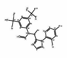 CC(c1ncnn1-c1ncc(F)cc1F)N(C=O)c1cc(C(F)(F)F)cc(C(F)(F)F)c1